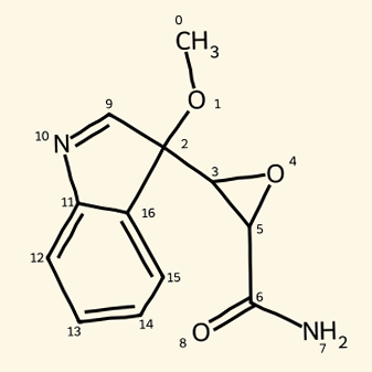 COC1(C2OC2C(N)=O)C=Nc2ccccc21